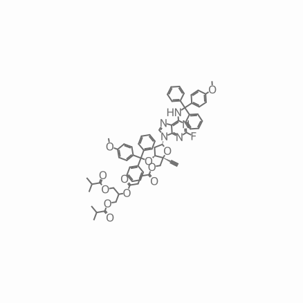 C#C[C@]1(COC(=O)CCC(=O)OC(COC(=O)C(C)C)COC(=O)C(C)C)O[C@@H](n2cnc3c(NC(c4ccccc4)(c4ccccc4)c4ccc(OC)cc4)nc(F)nc32)C[C@@H]1OC(c1ccccc1)(c1ccccc1)c1ccc(OC)cc1